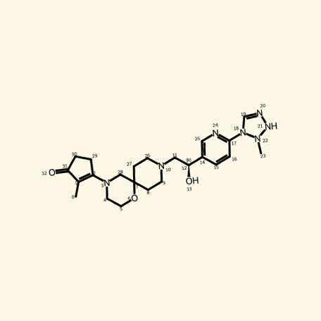 CC1=C(N2CCOC3(CCN(C[C@H](O)c4ccc(N5C=NNN5C)nc4)CC3)C2)CCC1=O